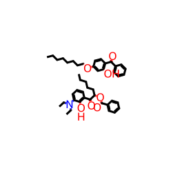 CCCCCC(OC(=O)c1ccccc1)C(=O)c1cccc(N(CC)CC)c1O.CCCCCCCCOc1ccc(C(=O)c2ccccc2)c(O)c1